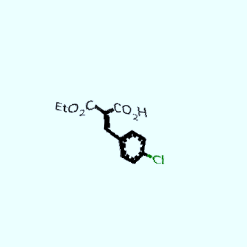 CCOC(=O)C(=Cc1ccc(Cl)cc1)C(=O)O